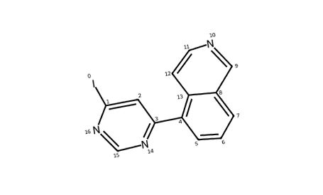 Ic1cc(-c2cccc3cnccc23)ncn1